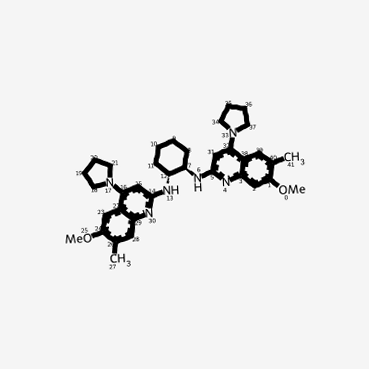 COc1cc2nc(N[C@@H]3CCCC[C@H]3Nc3cc(N4CCCC4)c4cc(OC)c(C)cc4n3)cc(N3CCCC3)c2cc1C